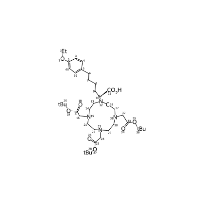 CCOc1ccc(CCCC[C@@H](C(=O)O)N2CCN(CC(=O)OC(C)(C)C)CCN(CC(=O)OC(C)(C)C)CCN(CC(=O)OC(C)(C)C)CC2)cc1